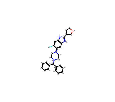 Fc1cc2[nH]c(C3CCOC3)nc2cc1N1CCN(C(c2ccccc2)c2ccccc2)CC1